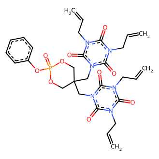 C=CCn1c(=O)n(CC=C)c(=O)n(CC2(Cn3c(=O)n(CC=C)c(=O)n(CC=C)c3=O)COP(=O)(Oc3ccccc3)OC2)c1=O